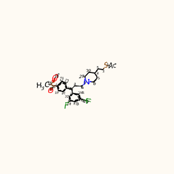 CC(=O)SCCC1CCN(CC[C@H](c2ccc(S(C)(=O)=O)cc2)c2cc(F)cc(F)c2)CC1